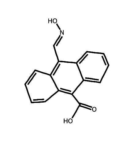 O=C(O)c1c2ccccc2c(/C=N/O)c2ccccc12